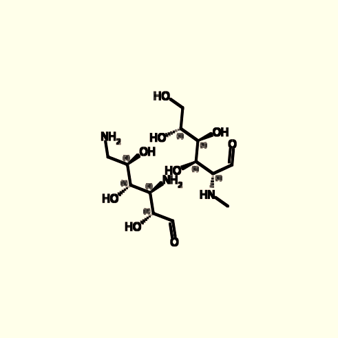 CN[C@@H](C=O)[C@@H](O)[C@H](O)[C@H](O)CO.NC[C@@H](O)[C@@H](O)[C@@H](N)[C@@H](O)C=O